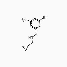 Cc1cc(Br)cc(CNCC2CC2)c1